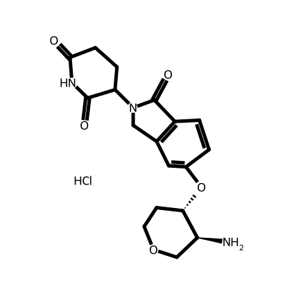 Cl.N[C@H]1COCC[C@@H]1Oc1ccc2c(c1)CN(C1CCC(=O)NC1=O)C2=O